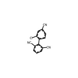 N#Cc1ccc(-c2c(C#N)c[c]cc2C#N)c(Cl)c1